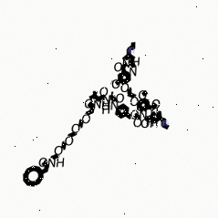 C/C=C/C1=CN2C(=O)c3cc(OC)c(OCCCOc4cc5c(cc4OC)C(=O)N4C=C(/C=C/C)C[C@H]4[C@H](O)N5C(=O)OCc4ccc(NC(=O)[C@H](C)NC(=O)[C@@H](NC(=O)CCOCCOCCOCCOCCNC(=O)Cc5ccccccccc5)C(C)C)cc4)cc3N=C[C@@H]2C1